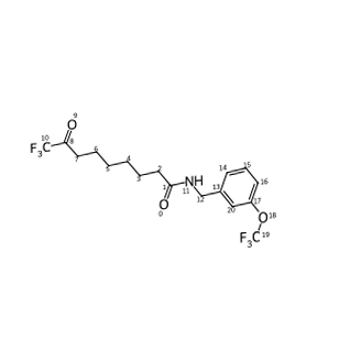 O=C(CCCCCCC(=O)C(F)(F)F)NCc1cccc(OC(F)(F)F)c1